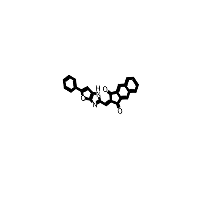 O=C1C(=Cc2nc3oc(-c4ccccc4)cc3[nH]2)C(=O)c2cc3ccccc3cc21